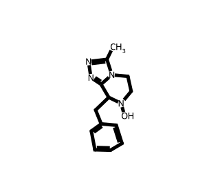 Cc1nnc2n1CCN(O)C2Cc1ccccc1